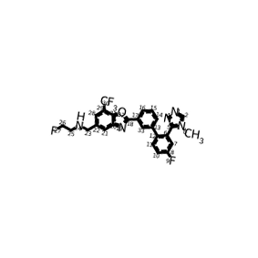 Cn1cnnc1-c1cc(F)ccc1-c1cccc(-c2nc3cc(CNCCF)cc(C(F)(F)F)c3o2)c1